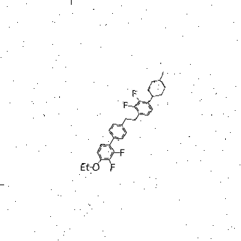 CCOc1ccc(-c2ccc(CCc3ccc(C4CCC(C)CC4)c(F)c3F)cc2)c(F)c1F